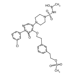 CB(O)NS(=O)(=O)N1CCN(c2cnn(-c3cccc(Cl)c3)c(=O)c2OCCc2cccc(CCOS(C)(=O)=O)c2)CC1